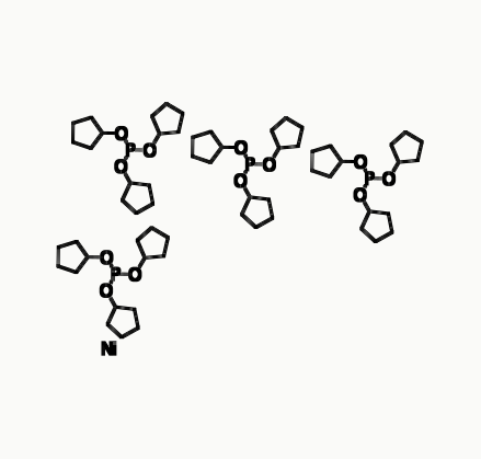 C1CCC(OP(OC2CCCC2)OC2CCCC2)C1.C1CCC(OP(OC2CCCC2)OC2CCCC2)C1.C1CCC(OP(OC2CCCC2)OC2CCCC2)C1.C1CCC(OP(OC2CCCC2)OC2CCCC2)C1.[Ni]